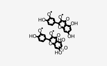 COc1cc(-c2oc3cc(O)cc(O)c3c(=O)c2OC)ccc1O.COc1cc(-c2oc3cc(O)cc(O)c3c(=O)c2OC)ccc1O.O